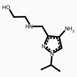 CC(C)n1cc(N)c(CNCCO)n1